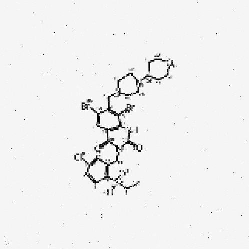 CCS(=O)(=O)c1ccc(Cl)cc1Cn1c(=O)[nH]c2c(Br)c(CN3CCN(C4CCOCC4)CC3)c(Br)cc2c1=O